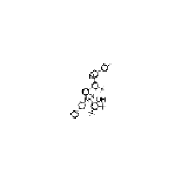 Cc1ccc(-c2ccnc(-c3cc(-c4cccc5c4nc(-c4cc(C(C)(C)C)cc(C(C)(C)C)c4O)n5-c4ccc(-c5ccccc5)cc4)cc(C(C)(C)C)c3)c2)cc1